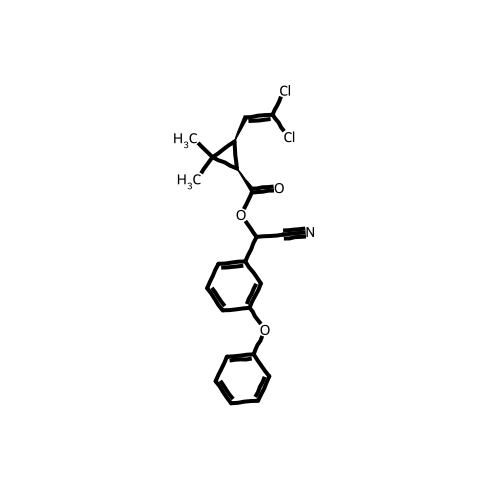 CC1(C)[C@H](C(=O)OC(C#N)c2cccc(Oc3ccccc3)c2)[C@@H]1C=C(Cl)Cl